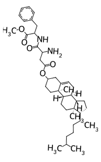 COC(=O)C(Cc1ccccc1)NC(=O)C(N)CC(=O)OC1CC[C@@]2(C)C(=CC[C@H]3[C@@H]4CC[C@H]([C@H](C)CCCC(C)C)[C@@]4(C)CC[C@@H]32)C1